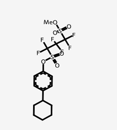 COS(=O)(=O)C(F)(F)C(F)(F)C(F)(F)S(=O)(=O)Oc1ccc(C2CCCCC2)cc1